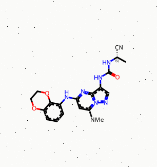 CNc1cc(Nc2cccc3c2OCCO3)nc2c(NC(=O)N[C@@H](C)C#N)cnn12